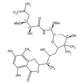 C=C(C)C[C@H](OC)[C@H](O)C(=O)N[C@@H](OC)[C@@H]1C[C@@H](O)C(C)(C)C(CC(O)[C@@H](C)C2Cc3c(C)c(O)cc(O)c3C(=O)O2)O1